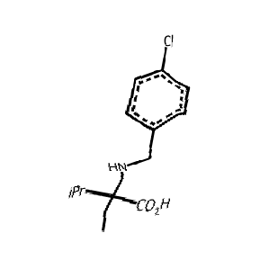 CC(C)C(C)(NCc1ccc(Cl)cc1)C(=O)O